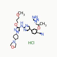 COCCCOc1nn(C2CCC(N3CCOCC3)CC2)cc1Nc1ncc(-c2ccc(C#N)c(O[C@@H](C)Cn3cnnn3)c2)cn1.Cl